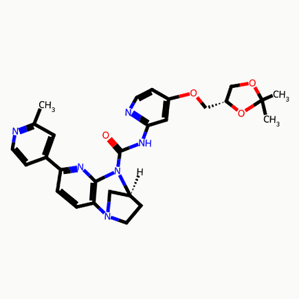 Cc1cc(-c2ccc3c(n2)N(C(=O)Nc2cc(OC[C@@H]4COC(C)(C)O4)ccn2)[C@H]2CCN3C2)ccn1